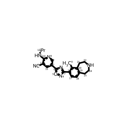 Cc1c(-c2noc(-c3cnc(NC(C)C)c(C#N)c3)n2)ccc2c1CCNCC2